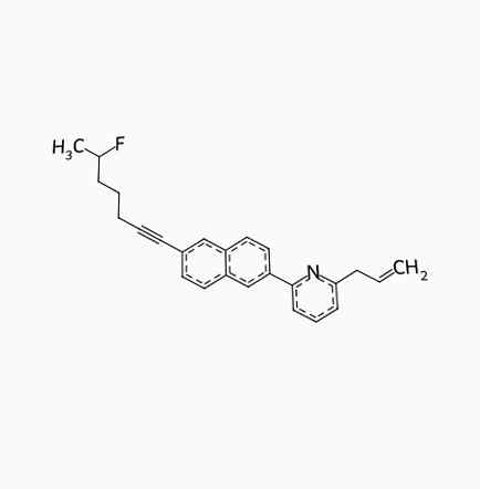 C=CCc1cccc(-c2ccc3cc(C#CCCCC(C)F)ccc3c2)n1